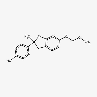 COCOc1ccc2c(c1)OC(C)(c1ccc(O)cn1)C2